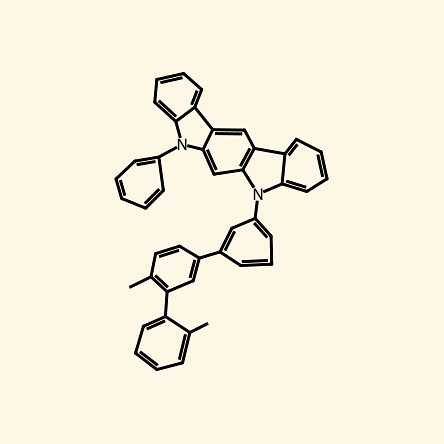 Cc1ccccc1-c1cc(-c2cccc(-n3c4ccccc4c4cc5c6ccccc6n(-c6ccccc6)c5cc43)c2)ccc1C